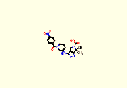 CC1(C)c2[nH]nc(NC3CCCN(C(=O)c4ccc([N+](=O)[O-])cc4)C3)c2CN1C(=O)O